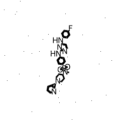 CN(C1CCN(C2c3cccnc32)CC1)S(=O)(=O)c1ccc(Nc2nccc(Nc3ccc(F)cc3)n2)cc1